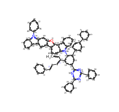 C=C/C(=C\C=C\c1ccccc1)c1cc(-c2nc(-c3ccccc3)nc(-c3ccccc3)n2)cc(-c2ccc(-c3ccccc3)cc2)c1-n1c2ccccc2c2c3oc4cc5c(cc4c3ccc21)c1ccccc1n5-c1ccccc1